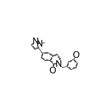 COc1cccc(Cn2ccc3cc(-c4ccnn4C)ccc3c2=O)c1